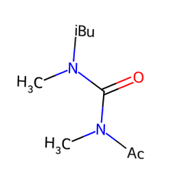 CCC(C)N(C)C(=O)N(C)C(C)=O